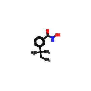 CCC(C)(C)c1cccc(C(=O)NO)c1